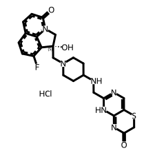 Cl.O=C1CSC2=CN=C(CNC3CCN(C[C@]4(O)Cn5c(=O)ccc6ccc(F)c4c65)CC3)NC2=N1